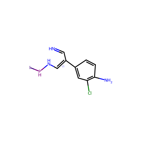 N=C/C(=C\NPI)c1ccc(N)c(Cl)c1